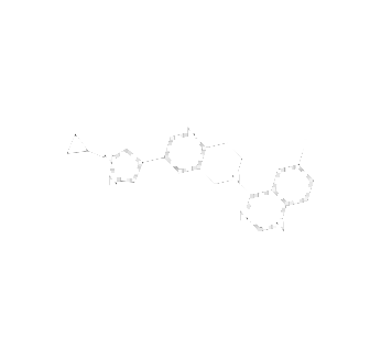 Clc1ccc2ncnc(N3CCc4ncc(-c5cnn(C6CC6)c5)cc4C3)c2c1